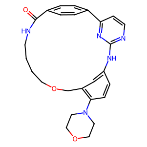 O=C1NCCCCOCc2cc(ccc2N2CCOCC2)Nc2nccc(n2)-c2ccc1cc2